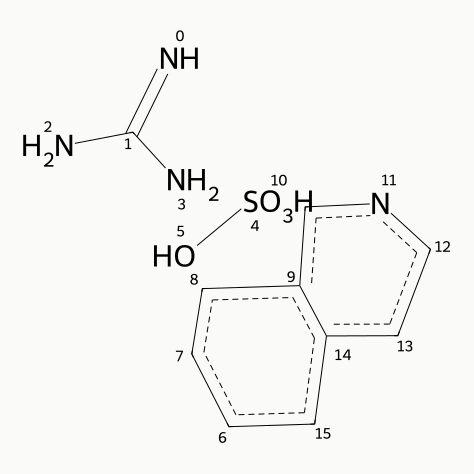 N=C(N)N.O=S(=O)(O)O.c1ccc2cnccc2c1